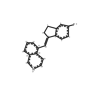 Fc1ccc2c(c1)CCC2=Cc1cccc2cnccc12